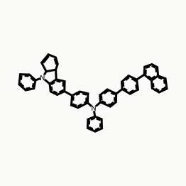 C1=CC2c3cc(-c4ccc(N(c5ccccc5)c5ccc(-c6ccc(-c7cccc8ccccc78)cc6)cc5)cc4)ccc3N(c3ccccc3)C2C=C1